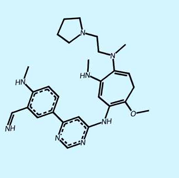 CNC1=CC(Nc2cc(-c3ccc(NC)c(C=N)c3)ncn2)=C(OC)CC=C1N(C)CCN1CCCC1